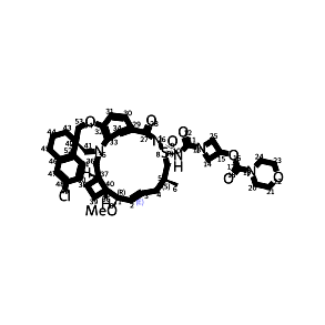 CO[C@H]1/C=C/C[C@H](C)C[S@@](=O)(NC(=O)N2CC(OC(=O)N3CCOCC3)C2)=NC(=O)c2ccc3c(c2)N(C[C@@H]2CC[C@H]21)C[C@@]1(CCCc2cc(Cl)ccc21)CO3